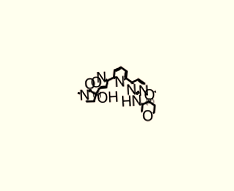 CO[C@@H]1CCOCC1Nc1nccc(-c2cccc(-c3cc([C@]4(O)CCN(C)C4=O)on3)n2)n1